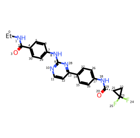 CCNC(=O)c1ccc(Nc2nccc(-c3ccc(NC(=O)[C@@H]4CC4(F)F)cc3)n2)cc1